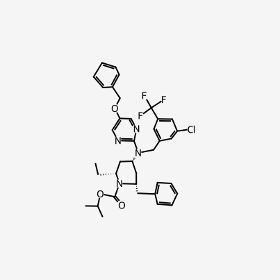 CC[C@@H]1C[C@H](N(Cc2cc(Cl)cc(C(F)(F)F)c2)c2ncc(OCc3ccccc3)cn2)C[C@H](Cc2ccccc2)N1C(=O)OC(C)C